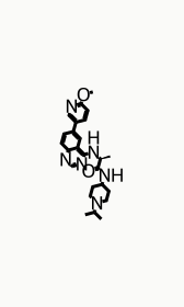 COc1ccc(-c2ccc3ncnc(N[C@@H](C)C(=O)NC4CCN(C(C)C)CC4)c3c2)cn1